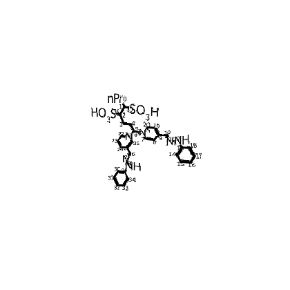 CCCC(C(CCC([n+]1ccc(C=NNc2ccccc2)cc1)[n+]1cccc(C=NNc2ccccc2)c1)S(=O)(=O)O)S(=O)(=O)O